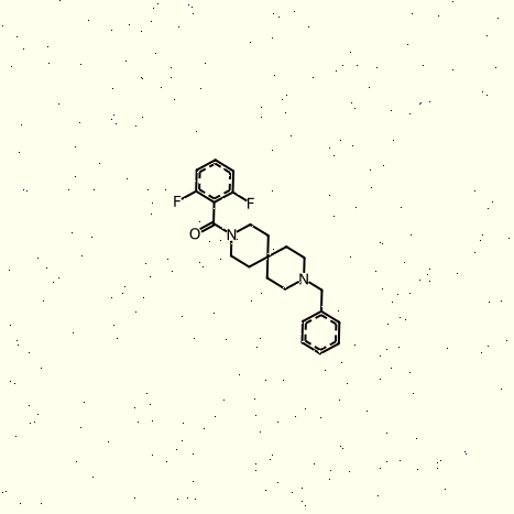 O=C(c1c(F)cccc1F)N1CCC2(CCN(Cc3ccccc3)CC2)CC1